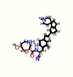 CO[C@@H]1CCNC[C@@H](C(=O)N[C@H](C#N)Cc2ccc3cc(-c4ccc5c(c4)C4(CC5)CCN(C)CC4)sc3c2F)OC1